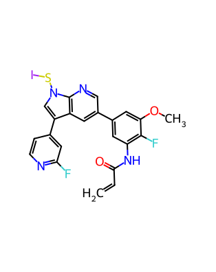 C=CC(=O)Nc1cc(-c2cnc3c(c2)c(-c2ccnc(F)c2)cn3SI)cc(OC)c1F